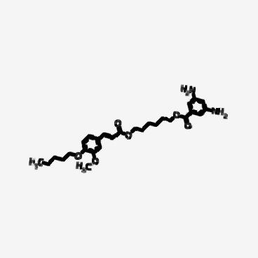 CCCCCOc1ccc(C=CC(=O)OCCCCCCOC(=O)c2cc(N)cc(N)c2)cc1OC